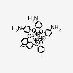 Cc1ccc(OP2N=P(Oc3ccc(C)cc3)(Oc3ccc(C)cc3)N(Oc3ccc(N)cc3)P(Oc3ccc(N)cc3)N2Oc2ccc(N)cc2)cc1